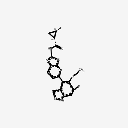 CCOc1c(F)cc2[nH]ncc2c1-c1ccc2nc(NC(=O)[C@@H]3C[C@@H]3F)sc2n1